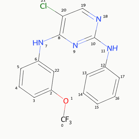 FC(F)(F)Oc1cccc(Nc2nc(Nc3ccccc3)ncc2Cl)c1